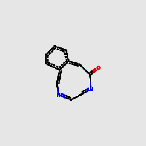 O=C1C=c2ccccc2=CN=CC=N1